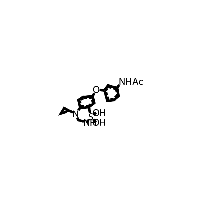 CC(=O)Nc1cccc(Oc2ccc3c(c2)S(O)(O)NCN3C2CC2)c1